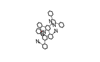 N#Cc1ccccc1-c1ccc2c(c1)c1ccccc1n2-c1c(-c2ccccc2C#N)cc(-c2nc(-c3ccccc3)cc(-c3ccccc3)n2)cc1-c1ccccc1C#N